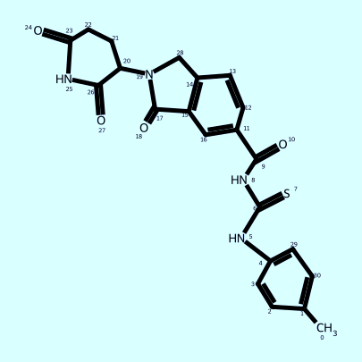 Cc1ccc(NC(=S)NC(=O)c2ccc3c(c2)C(=O)N(C2CCC(=O)NC2=O)C3)cc1